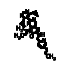 CCSc1ccc(CNc2nc3cnc(-c4c(C5CC5)ncnc4C4CC4)nc3n([C@@H](C)CC)c2=O)nc1